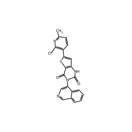 Cc1ccc(-c2cc3[nH]c(=O)n(-c4cncc5ccccc45)c(=O)c3s2)c(Cl)n1